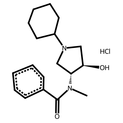 CN(C(=O)c1ccccc1)[C@@H]1CN(C2CCCCC2)C[C@H]1O.Cl